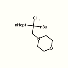 CCCCCCCC(C)(CCCC)CN1CCOCC1